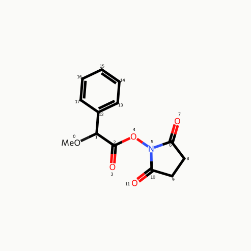 COC(C(=O)ON1C(=O)CCC1=O)c1ccccc1